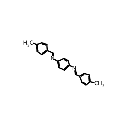 Cc1ccc(C=Nc2ccc(N=Cc3ccc(C)cc3)cc2)cc1